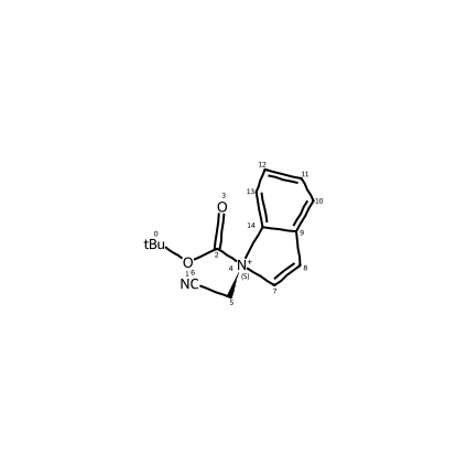 CC(C)(C)OC(=O)[N@@+]1(CC#N)C=Cc2ccccc21